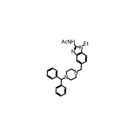 CCn1c(NC(C)=O)nc2cc(CN3CCN(C(c4ccccc4)c4ccccc4)CC3)ccc21